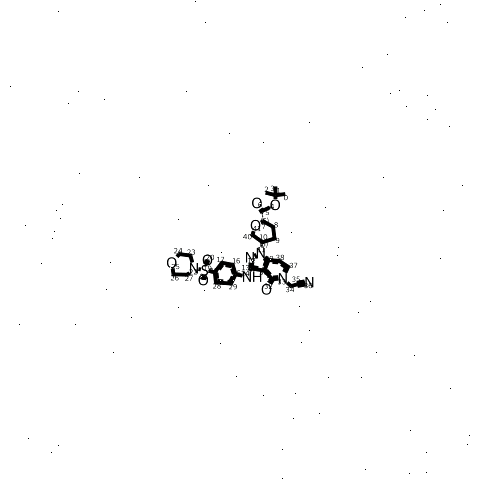 CC(C)(C)OC(=O)[C@@H]1CC[C@H](n2nc(Nc3ccc(S(=O)(=O)N4CCOCC4)cc3)c3c(=O)n(CC#N)ccc32)CO1